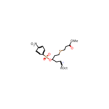 CCCCCCCC/C=C\CC(CCSCCC(=O)OC)OS(=O)(=O)c1ccc([N+](=O)[O-])cc1